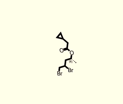 C[C@H](CC(Br)CBr)OC(=O)CC1CC1